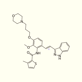 COc1c(OCCCN2CCOCC2)ccc(/C=C/c2n[nH]c3ccccc23)c1NC(=O)c1sccc1C